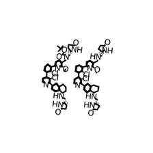 COc1nc(-c2cccc(-c3ccnc(-c4ccc5c(c4)CCCC5NC[C@@H]4CCC(=O)N4)c3Cl)c2Cl)ccc1CN(C[C@@H]1CCC(=O)N1)C(=O)OC(C)(C)C.COc1nc(-c2cccc(-c3ccnc(-c4ccc5c(c4)CCCC5NC[C@@H]4CCC(=O)N4)c3Cl)c2Cl)ccc1CNC[C@@H]1CCC(=O)N1